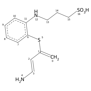 C=C(/C=C/N)Sc1ccccc1NCCCS(=O)(=O)O